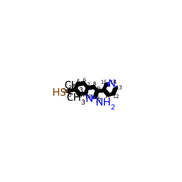 CC(C)(S)c1ccc2cc(-c3cccnc3)c(N)nc2c1